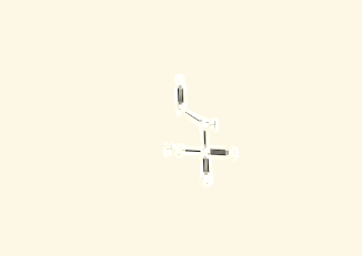 O=S(=O)(O)PP=S